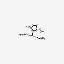 C=CCNC(=O)OOCCCCC.NC[C@H]1CC[C@H](C(=O)O)CC1